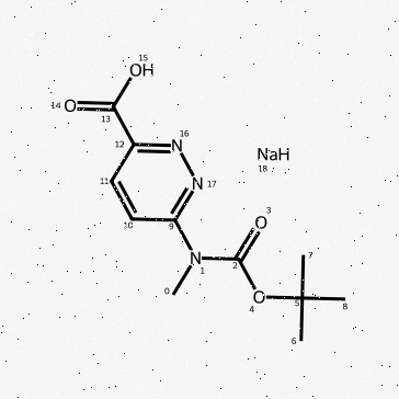 CN(C(=O)OC(C)(C)C)c1ccc(C(=O)O)nn1.[NaH]